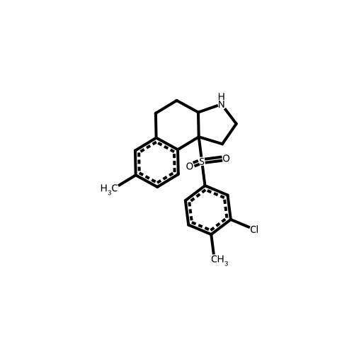 Cc1ccc2c(c1)CCC1NCCC21S(=O)(=O)c1ccc(C)c(Cl)c1